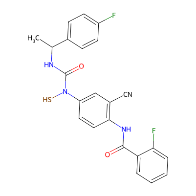 CC(NC(=O)N(S)c1ccc(NC(=O)c2ccccc2F)c(C#N)c1)c1ccc(F)cc1